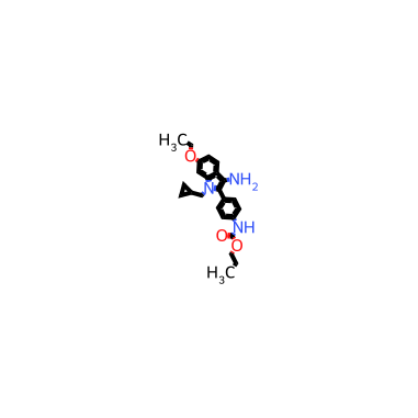 CCCOC(=O)Nc1ccc(-c2c(N)c3ccc(OCC)cc3n2CC2CC2)cc1